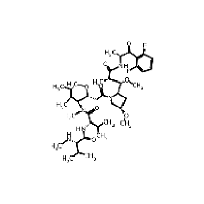 CC[C@H](C)[C@@H]([C@@H](CC(=O)N1C[C@H](OC)CC1[C@H](OC)[C@@H](C)C(=O)N[C@@H](C)C(=O)c1c(F)cccc1F)OC)N(C)C(=O)[C@@H](NC(=O)[C@@H](NC)C(C)C)C(C)C